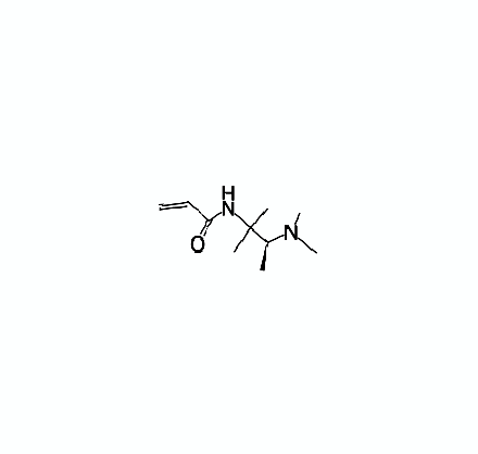 C=CC(=O)NC(C)(C)[C@H](C)N(C)C